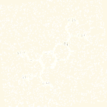 CCc1cc2c(cc1C(C)C)CCN(C(C)CC)C2